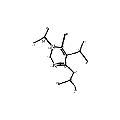 CC1=C(C(C)C)C(CC(C)C)=NCN1C(C)C